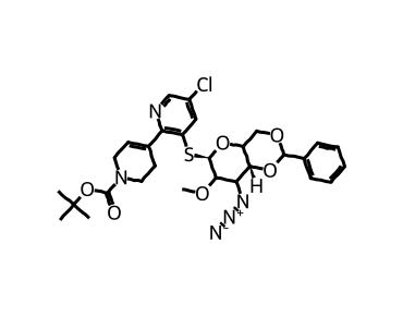 COC1C(N=[N+]=[N-])[C@H]2OC(c3ccccc3)OCC2O[C@@H]1Sc1cc(Cl)cnc1C1=CCN(C(=O)OC(C)(C)C)CC1